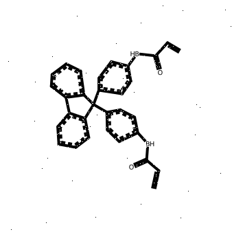 C=CC(=O)Bc1ccc(C2(c3ccc(BC(=O)C=C)cc3)c3ccccc3-c3ccccc32)cc1